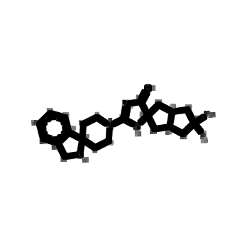 O=C1N=C(N2CCC3(CC2)OCc2ccccc23)OC12CC1CC(F)(F)CC1C2